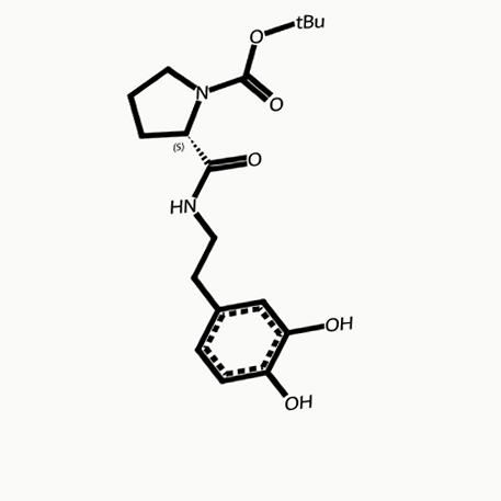 CC(C)(C)OC(=O)N1CCC[C@H]1C(=O)NCCc1ccc(O)c(O)c1